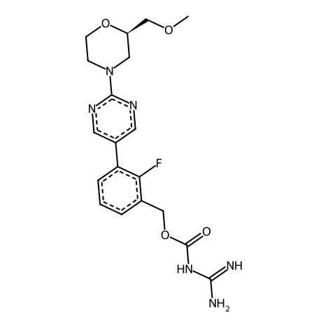 COC[C@H]1CN(c2ncc(-c3cccc(COC(=O)NC(=N)N)c3F)cn2)CCO1